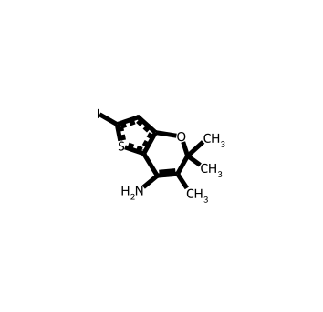 CC1=C(N)c2sc(I)cc2OC1(C)C